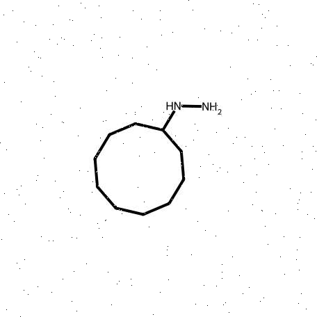 NNC1CCCCCCCCC1